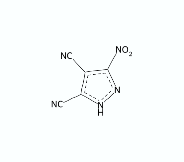 N#Cc1[nH]nc([N+](=O)[O-])c1C#N